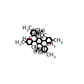 Cc1ccc(-c2c(OP(=O)(O)O)c(-c3ccc(C)cc3C)c(-c3ccc(C)cc3C)c(OP(=O)(O)O)c2-c2ccc(C)cc2C)c(C)c1